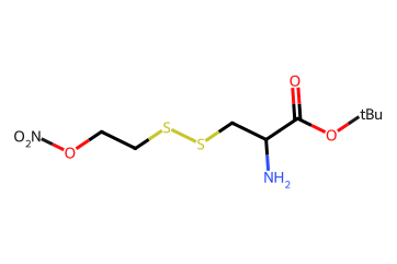 CC(C)(C)OC(=O)C(N)CSSCCO[N+](=O)[O-]